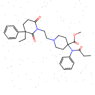 CCC(=O)N(c1ccccc1)C1(C(=O)OC)CCN(CCN2C(=O)CCC(CC)(c3ccccc3)C2=O)CC1